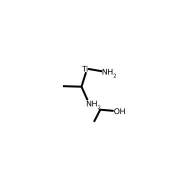 CCO.C[CH](N)[Ti][NH2]